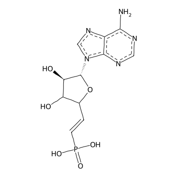 Nc1ncnc2c1ncn2[C@@H]1OC(/C=C/P(=O)(O)O)C(O)[C@H]1O